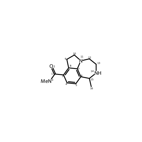 CNC(=O)c1ccc2c3c1CCN3CCNC2C